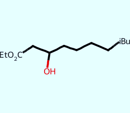 CCOC(=O)CC(O)CCCCC(C)CC